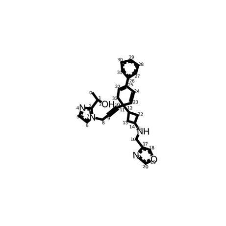 CC(O)c1nccn1CC#CC1(C2CC(NCc3cocn3)C2)C=CC(c2ccccc2)=CC1